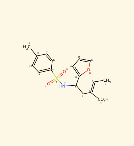 CC=C(CC(NS(=O)(=O)c1ccc(C)cc1)c1ccco1)C(=O)O